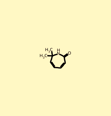 CC1(C)C=CC=CC(=O)N1